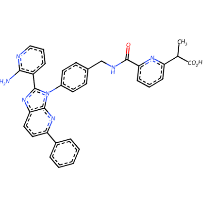 CC(C(=O)O)c1cccc(C(=O)NCc2ccc(-n3c(-c4cccnc4N)nc4ccc(-c5ccccc5)nc43)cc2)n1